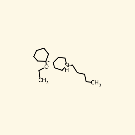 CCCCC[Si@H]1CC[C@H](C2(OCC)CCCCC2)CC1